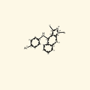 CC(=O)c1ccc(Nc2c3ccccc3nc3c2c(C)nn3C)cc1